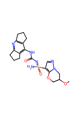 COC1COc2c(S(N)(=O)=NC(=O)Nc3c4c(nc5c3CCC5)CCC4)cnn2C1